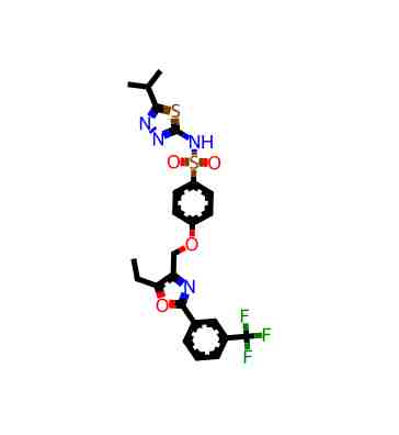 CCc1oc(-c2cccc(C(F)(F)F)c2)nc1COc1ccc(S(=O)(=O)Nc2nnc(C(C)C)s2)cc1